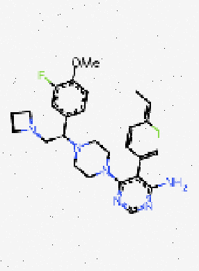 C=C(/C=C\C(F)=C/C)c1c(N)ncnc1N1CCN([C@@H](CN2CCC2)c2ccc(OC)c(F)c2)CC1